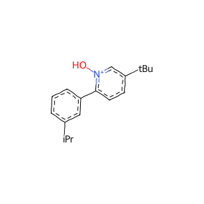 CC(C)c1cccc(-c2ccc(C(C)(C)C)c[n+]2O)c1